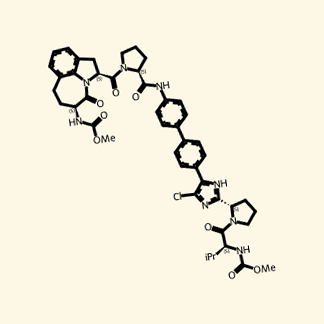 COC(=O)N[C@H]1CCc2cccc3c2N(C1=O)[C@H](C(=O)N1CCC[C@H]1C(=O)Nc1ccc(-c2ccc(-c4[nH]c([C@@H]5CCCN5C(=O)[C@@H](NC(=O)OC)C(C)C)nc4Cl)cc2)cc1)C3